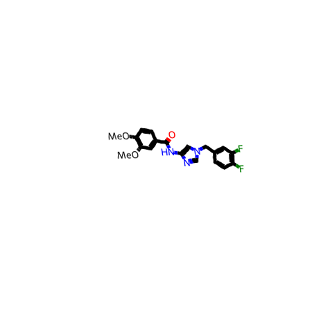 COc1ccc(C(=O)Nc2cn(Cc3ccc(F)c(F)c3)cn2)cc1OC